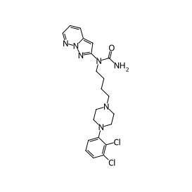 NC(=O)N(CCCCN1CCN(c2cccc(Cl)c2Cl)CC1)c1cc2cccnn2n1